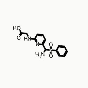 NC(c1cccc(NCC(=O)O)n1)S(=O)(=O)c1ccccc1